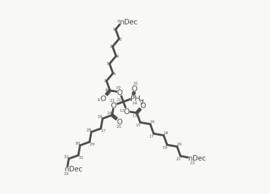 CCCCCCCCCCCCCCCCCC(=O)OC(OC(=O)CCCCCCCCCCCCCCCCC)(OC(=O)CCCCCCCCCCCCCCCCC)[PH2]=O